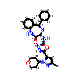 Cc1cc(-c2nnc(N[C@H]3N=C(c4ccccc4)c4ccccc4NC3=O)o2)n(C2CCOCC2)n1